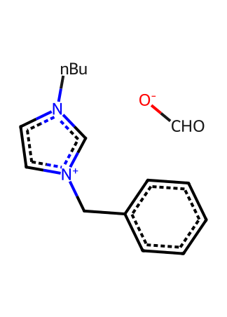 CCCCn1cc[n+](Cc2ccccc2)c1.O=C[O-]